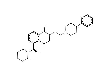 O=C1c2cccc(C(=O)N3CCCCC3)c2CCC1CCN1CCC(c2ccccc2)CC1